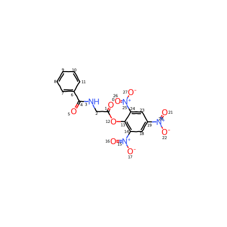 O=C(CNC(=O)c1ccccc1)Oc1c([N+](=O)[O-])cc([N+](=O)[O-])cc1[N+](=O)[O-]